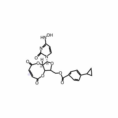 O=C1/C=C\C(=O)O[C@H]2C(O1)C(COC(=O)c1ccc(C3CC3)cc1)O[C@H]2n1ccc(NO)nc1=O